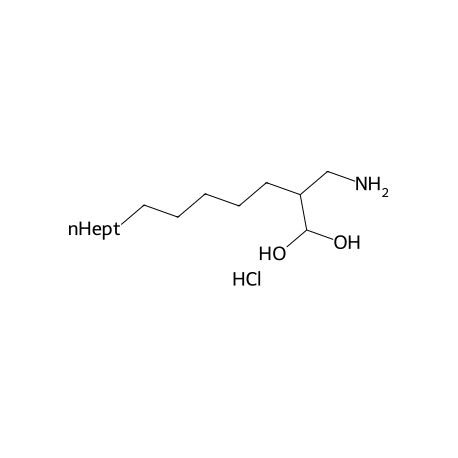 CCCCCCCCCCCCC(CN)C(O)O.Cl